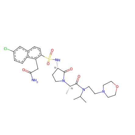 CC(C)N(CCN1CCOCC1)C(=O)[C@H](C)N1CC[C@H](NS(=O)(=O)c2ccc3cc(Cl)ccc3c2CC(N)=O)C1=O